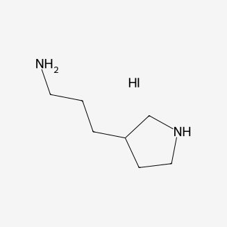 I.NCCCC1CCNC1